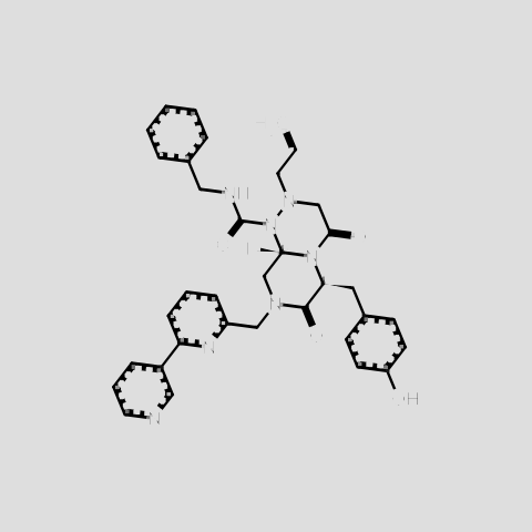 C=CCN1CC(=O)N2[C@@H](Cc3ccc(O)cc3)C(=O)N(Cc3cccc(-c4cccnc4)n3)C[C@@H]2N1C(=O)NCc1ccccc1